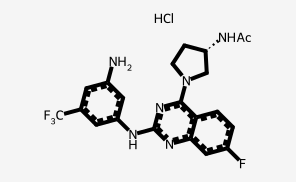 CC(=O)N[C@H]1CCN(c2nc(Nc3cc(N)cc(C(F)(F)F)c3)nc3cc(F)ccc23)C1.Cl